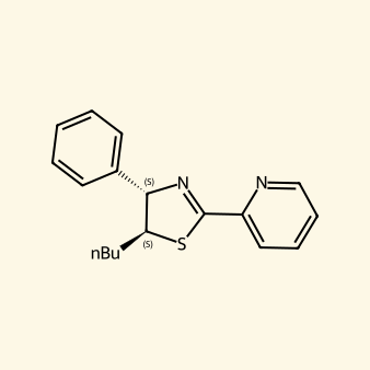 CCCC[C@@H]1SC(c2ccccn2)=N[C@H]1c1ccccc1